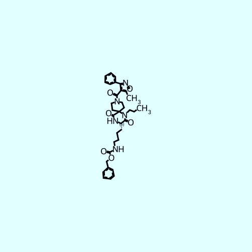 CCCN1C(=O)[C@H](CCCCNC(=O)OCc2ccccc2)NC(=O)C12CCN(C(=O)c1c(-c3ccccc3)noc1C)CC2